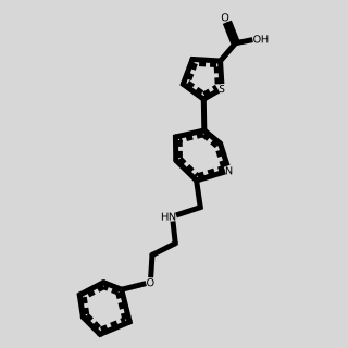 O=C(O)c1ccc(-c2ccc(CNCCOc3ccccc3)nc2)s1